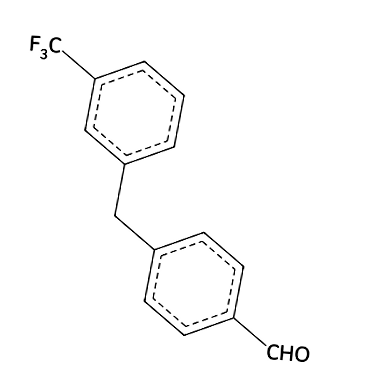 O=Cc1ccc(Cc2cccc(C(F)(F)F)c2)cc1